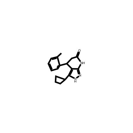 Cc1ccccc1C1CC(=O)Nc2n[nH]c(C3CCC3)c21